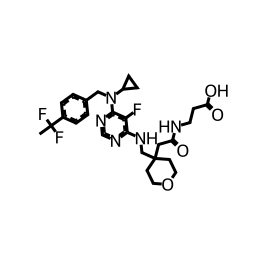 CC(F)(F)c1ccc(CN(c2ncnc(NCC3(CC(=O)NCCC(=O)O)CCOCC3)c2F)C2CC2)cc1